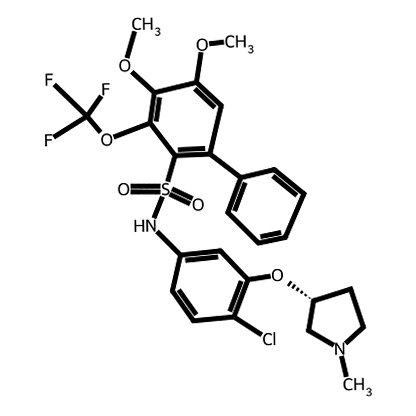 COc1cc(-c2ccccc2)c(S(=O)(=O)Nc2ccc(Cl)c(O[C@@H]3CCN(C)C3)c2)c(OC(F)(F)F)c1OC